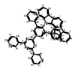 CC1(C)c2ccccc2-c2ccc3c4ccccc4n(-c4c(-c5ccccc5)cc(-c5nc(-c6cccnc6)nc(C6C=CC=NC6)n5)cc4-c4ccccc4)c3c21